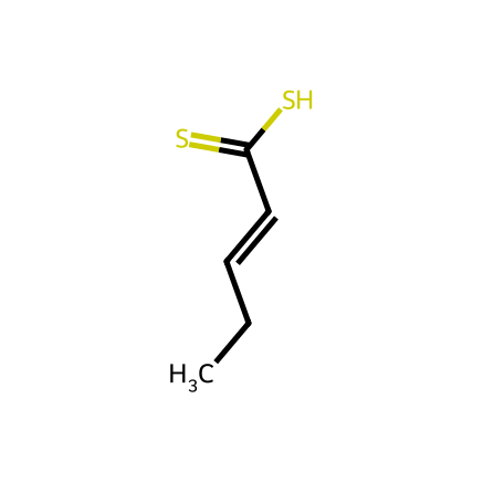 CC/C=C/C(=S)S